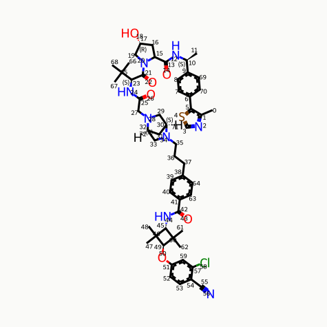 Cc1ncsc1-c1ccc([C@H](C)NC(=O)C2C[C@@H](O)CN2C(=O)[C@@H](NC(=O)CN2C[C@@H]3C[C@H]2CN3CCCc2ccc(C(=O)N[C@H]3C(C)(C)[C@H](Oc4ccc(C#N)c(Cl)c4)C3(C)C)cc2)C(C)(C)C)cc1